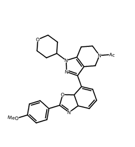 COc1ccc(C2=NC3C=CC=C(c4nn(C5CCOCC5)c5c4CN(C(C)=O)CC5)C3O2)cc1